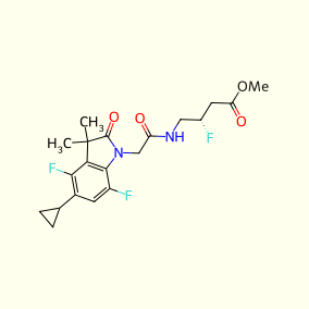 COC(=O)C[C@H](F)CNC(=O)CN1C(=O)C(C)(C)c2c(F)c(C3CC3)cc(F)c21